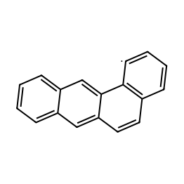 [c]1cccc2ccc3cc4ccccc4cc3c12